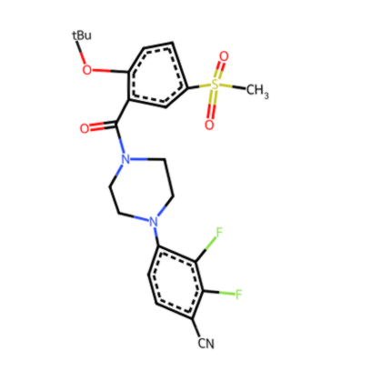 CC(C)(C)Oc1ccc(S(C)(=O)=O)cc1C(=O)N1CCN(c2ccc(C#N)c(F)c2F)CC1